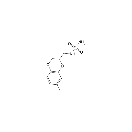 Cc1ccc2c(c1)OC(CNS(N)(=O)=O)CO2